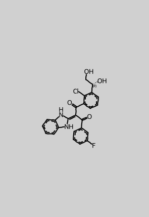 O=C(C(C(=O)c1cccc([C@@H](O)CO)c1Cl)=C1Nc2ccccc2N1)c1cccc(F)c1